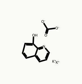 O=C([O-])[O-].Oc1cccc2cccnc12.[K+].[K+]